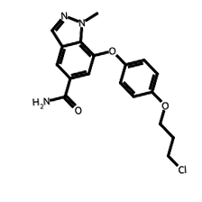 Cn1ncc2cc(C(N)=O)cc(Oc3ccc(OCCCCl)cc3)c21